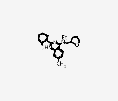 CCN(CC1CCCO1)c1nc(-c2ccccc2O)nc2cc(C)ccc12